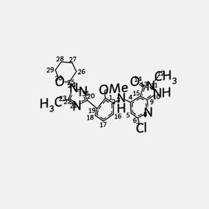 COc1c(Nc2cc(Cl)nc3[nH]n(C)c(=O)c23)cccc1-c1nc(C)n(C2CCCCO2)n1